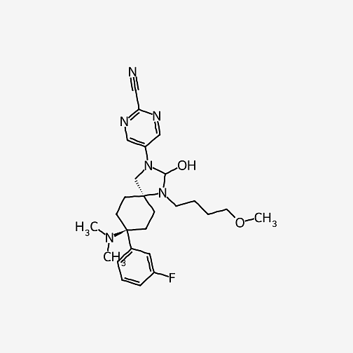 COCCCCN1C(O)N(c2cnc(C#N)nc2)C[C@]12CC[C@](c1cccc(F)c1)(N(C)C)CC2